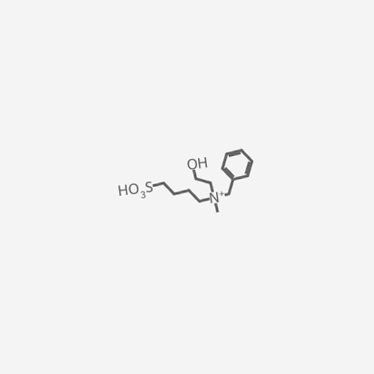 C[N+](CCO)(CCCCS(=O)(=O)O)Cc1ccccc1